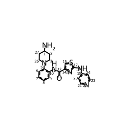 NC1CCN(c2ccccc2NC(=O)c2csc(Nc3ccncc3)n2)CC1